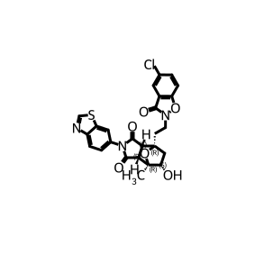 C[C@]12O[C@](CCn3oc4ccc(Cl)cc4c3=O)(C[C@@H]1O)[C@H]1C(=O)N(c3ccc4ncsc4c3)C(=O)[C@H]12